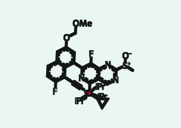 COCOc1cc(-c2nc(N(C)C3CC3)c3cnc([S+](C)[O-])nc3c2F)c2c(C#C[Si](C(C)C)(C(C)C)C(C)C)c(F)ccc2c1